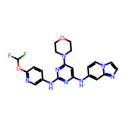 FC(F)Oc1ccc(Nc2nc(Nc3ccn4ccnc4c3)cc(N3CCOCC3)n2)cn1